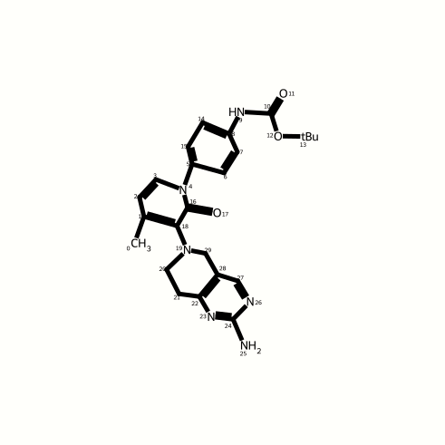 Cc1ccn(-c2ccc(NC(=O)OC(C)(C)C)cc2)c(=O)c1N1CCc2nc(N)ncc2C1